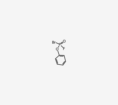 O=P(F)(Br)Oc1ccccc1